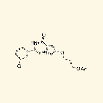 CC(=O)OCCCOc1cc2c(=O)[nH]c(-c3cccc(Cl)c3)cn2c1